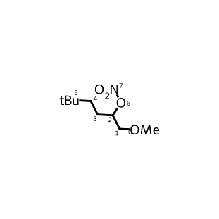 COCC(CCC(C)(C)C)O[N+](=O)[O-]